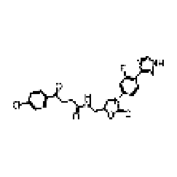 O=C(CCC(=O)c1ccc(Cl)cc1)NCC1CN(c2ccc(-c3nc[nH]n3)c(F)c2)C(=O)O1